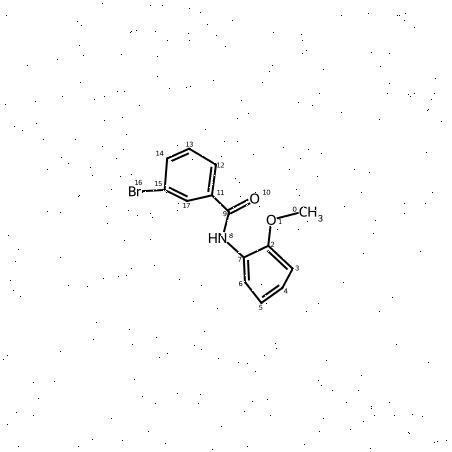 COc1ccccc1NC(=O)c1cccc(Br)c1